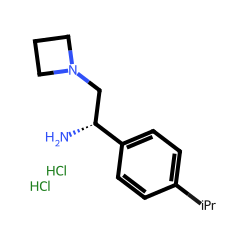 CC(C)c1ccc([C@H](N)CN2CCC2)cc1.Cl.Cl